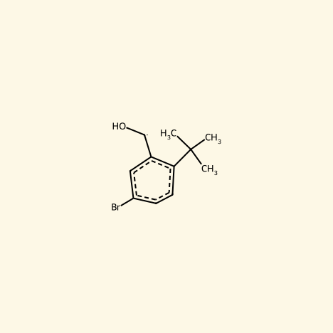 CC(C)(C)c1ccc(Br)cc1[CH]O